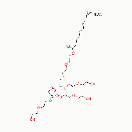 CCCCCCCC/C=C\CCCCCCCC(=O)OCCOCCOCC(OCCOCCO)[C@H]1OC[C@@H](OCCOCCO)[C@@H]1OCCOCCO